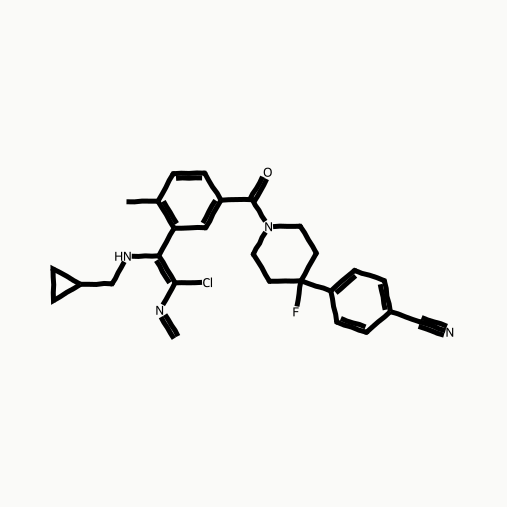 C=N/C(Cl)=C(\NCC1CC1)c1cc(C(=O)N2CCC(F)(c3ccc(C#N)cc3)CC2)ccc1C